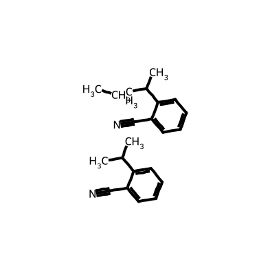 CC.CC(C)c1ccccc1C#N.CC(C)c1ccccc1C#N